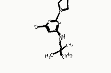 CC(C)(C)CNc1cc(Cl)nc(N2CCCC2)n1